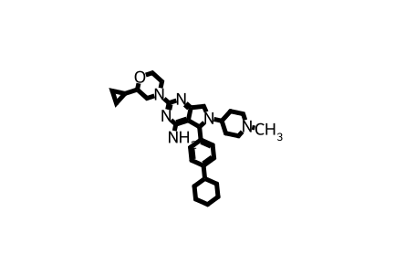 CN1CCC(N2Cc3nc(N4CCOC(C5CC5)C4)nc(N)c3C2c2ccc(C3CCCCC3)cc2)CC1